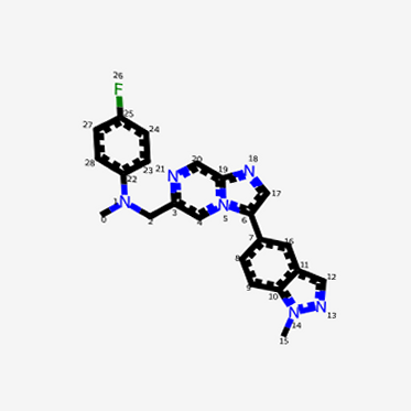 CN(Cc1cn2c(-c3ccc4c(cnn4C)c3)cnc2cn1)c1ccc(F)cc1